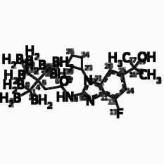 BC(B)(B)C(CC(=O)Nc1nc2c(F)cc(C(C)(C)O)cc2n1C1CCC1)(C(B)(B)B)C(B)(B)B